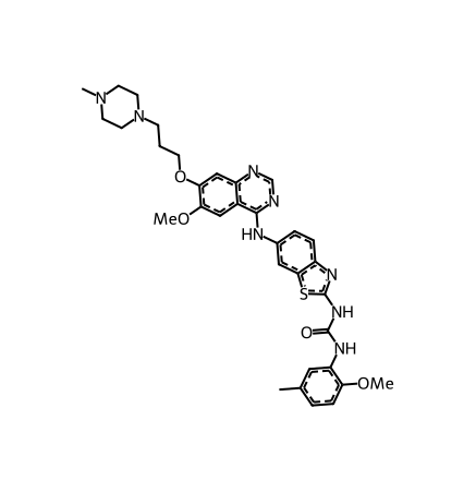 COc1ccc(C)cc1NC(=O)Nc1nc2ccc(Nc3ncnc4cc(OCCCN5CCN(C)CC5)c(OC)cc34)cc2s1